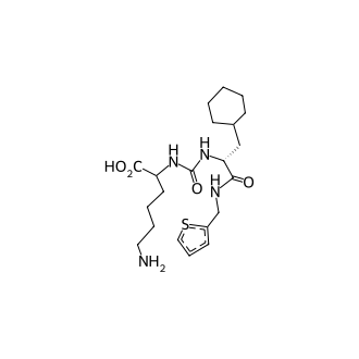 NCCCCC(NC(=O)N[C@H](CC1CCCCC1)C(=O)NCc1cccs1)C(=O)O